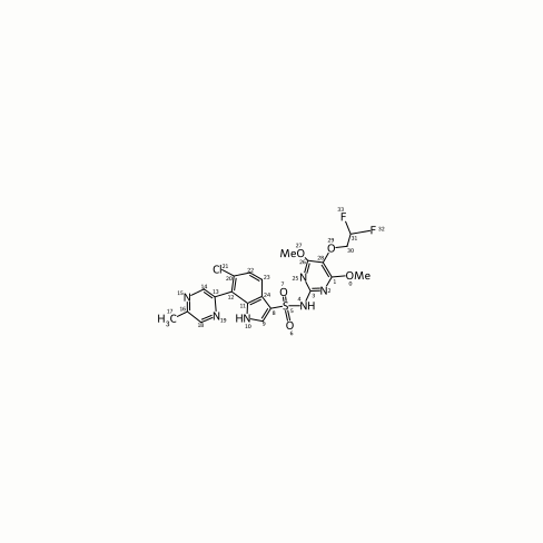 COc1nc(NS(=O)(=O)c2c[nH]c3c(-c4cnc(C)cn4)c(Cl)ccc23)nc(OC)c1OCC(F)F